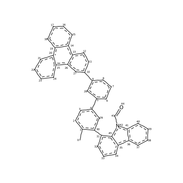 Cc1ccc(-c2cccc(-c3ccc4c5ccccc5c5ccccc5c4c3)c2)cc1-c1cccc2c3ccccc3n(C=O)c12